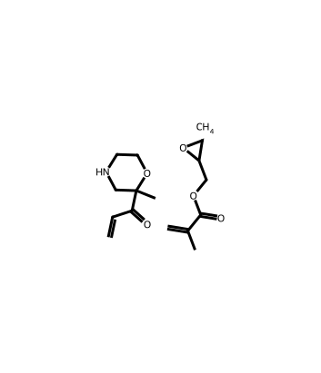 C.C=C(C)C(=O)OCC1CO1.C=CC(=O)C1(C)CNCCO1